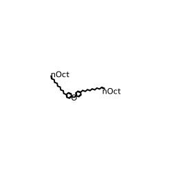 CCCCCCCC/C=C\CCCCCCCCc1ccc(Oc2ccc(CCCCCCCC/C=C\CCCCCCCC)cc2)cc1